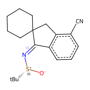 CC(C)(C)[S@@+]([O-])/N=C1\c2cccc(C#N)c2CC12CCCCC2